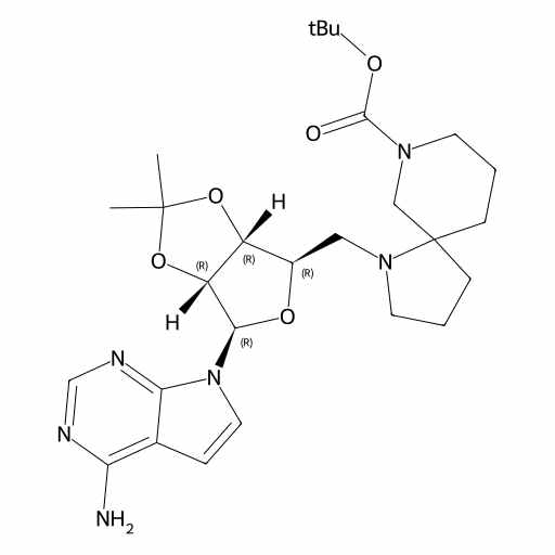 CC(C)(C)OC(=O)N1CCCC2(CCCN2C[C@H]2O[C@@H](n3ccc4c(N)ncnc43)[C@@H]3OC(C)(C)O[C@@H]32)C1